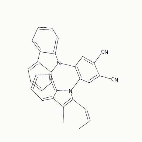 C/C=C\c1c(C)c2ccccc2n1-c1cc(C#N)c(C#N)cc1-n1c2ccccc2c2ccccc21